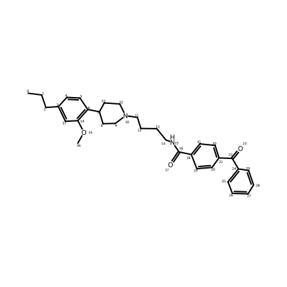 CCCc1ccc(C2CCN(CCCCNC(=O)c3ccc(C(=O)c4ccccc4)cc3)CC2)c(OC)c1